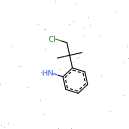 CC(C)(CCl)c1ccccc1[NH]